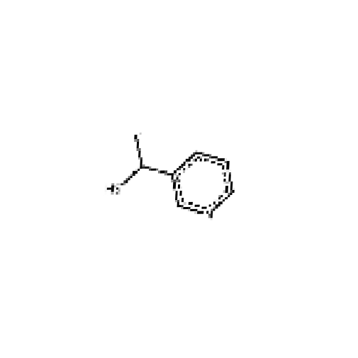 [CH]C(S)c1cccnc1